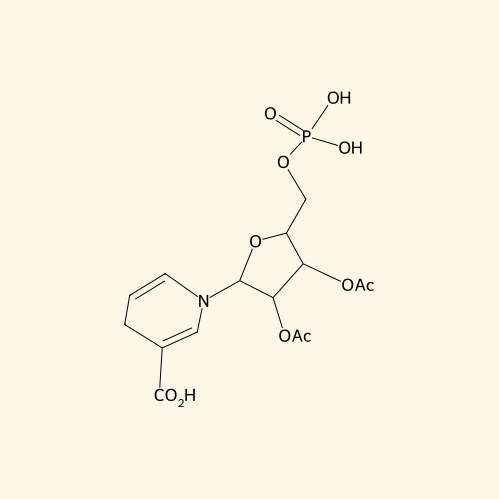 CC(=O)OC1C(COP(=O)(O)O)OC(N2C=CCC(C(=O)O)=C2)C1OC(C)=O